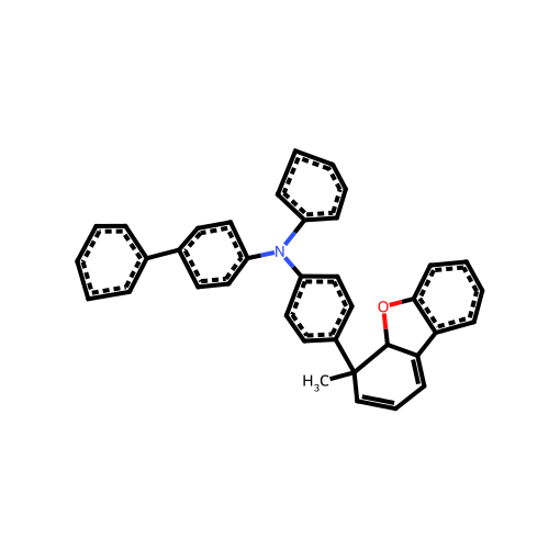 CC1(c2ccc(N(c3ccccc3)c3ccc(-c4ccccc4)cc3)cc2)C=CC=C2c3ccccc3OC21